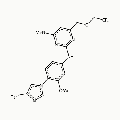 CNc1cc(COCC(F)(F)F)nc(Nc2ccc(-n3cnc(C)c3)c(OC)c2)n1